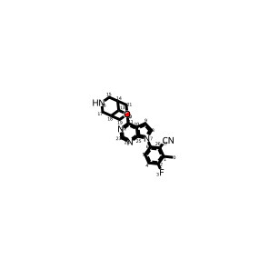 Cc1c(F)ccc(-n2ccc3c(OC4C5CNCC4COC5)ncnc32)c1C#N